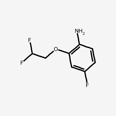 Nc1ccc(F)cc1OCC(F)F